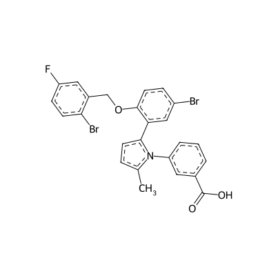 Cc1ccc(-c2cc(Br)ccc2OCc2cc(F)ccc2Br)n1-c1cccc(C(=O)O)c1